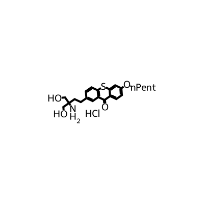 CCCCCOc1ccc2c(=O)c3cc(CCC(N)(CO)CO)ccc3sc2c1.Cl